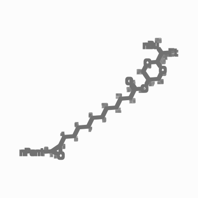 CCCCCC1OC1CCCCCCCCCCC(=O)OC1COC(C(CC)CCCC)OC1